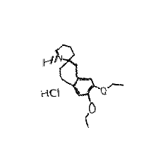 CCOc1cc2c(cc1OCC)CC1(CCCCN1)CC2.Cl